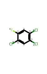 Fc1cc(Cl)c(Cl)cc1Cl